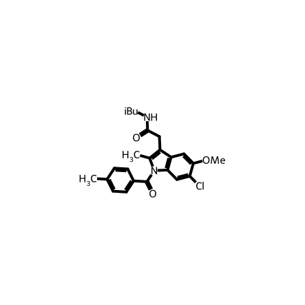 CCC(C)NC(=O)Cc1c(C)n(C(=O)c2ccc(C)cc2)c2cc(Cl)c(OC)cc12